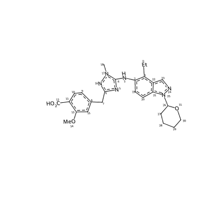 CCc1c(Nc2nc(Cc3ccc(C(=O)O)c(OC)c3)nn2C)ccc2c1cnn2C1CCCCO1